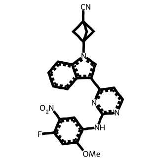 COc1cc(F)c([N+](=O)[O-])cc1Nc1nccc(-c2cn(C34CC(C#N)(C3)C4)c3ccccc23)n1